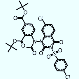 CC(=O)N(c1ccc(C(=O)OC(C)(C)C)cc1C(=O)OC(C)(C)C)n1c(=O)n(S(=O)(=O)c2ccc(Cl)cc2)c(=O)c2ccc(Cl)cc21